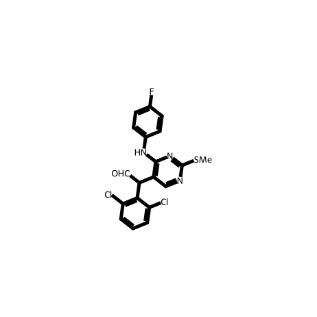 CSc1ncc(C(C=O)c2c(Cl)cccc2Cl)c(Nc2ccc(F)cc2)n1